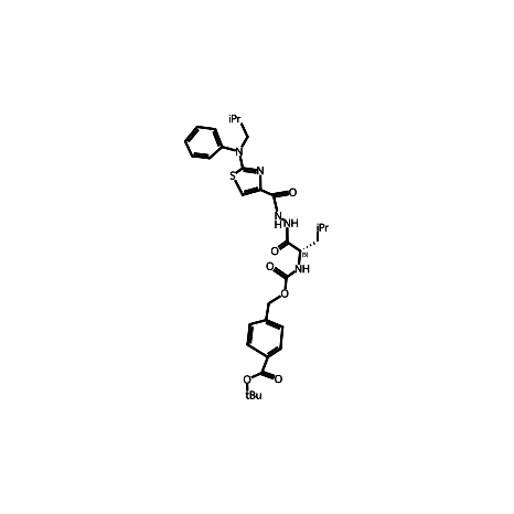 CC(C)C[C@H](NC(=O)OCc1ccc(C(=O)OC(C)(C)C)cc1)C(=O)NNC(=O)c1csc(N(CC(C)C)c2ccccc2)n1